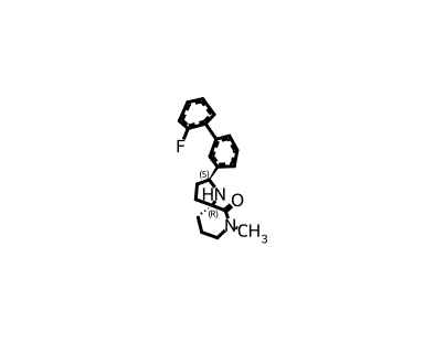 CN1CCC[C@@]2(CC[C@@H](c3cccc(-c4ccccc4F)c3)N2)C1=O